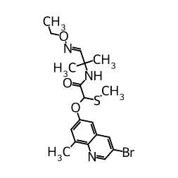 CCON=CC(C)(C)NC(=O)C(Oc1cc(C)c2ncc(Br)cc2c1)SC